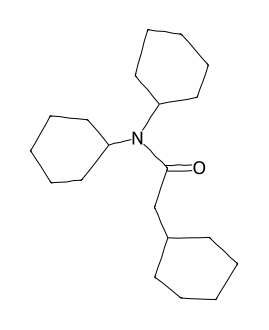 O=C(CC1CCCCC1)N(C1CCCCC1)C1CCCCC1